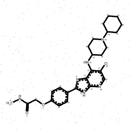 CNC(=O)COc1ccc(-c2nc3c(NC4CCN(C5CCCCC5)CC4)c(Cl)cnc3[nH]2)cc1